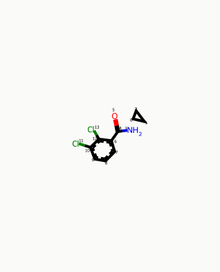 C1CC1.NC(=O)c1cccc(Cl)c1Cl